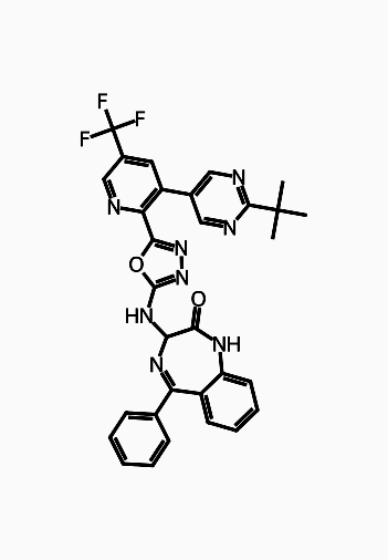 CC(C)(C)c1ncc(-c2cc(C(F)(F)F)cnc2-c2nnc(NC3N=C(c4ccccc4)c4ccccc4NC3=O)o2)cn1